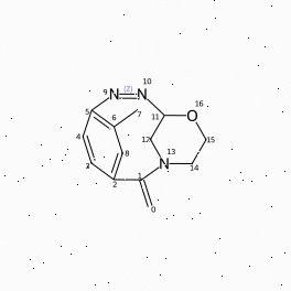 C=C1c2ccc(c(C)c2)/N=N\C2CN1CCO2